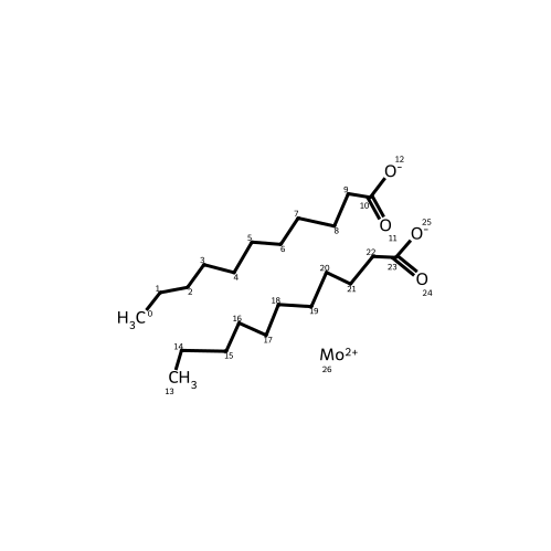 CCCCCCCCCCC(=O)[O-].CCCCCCCCCCC(=O)[O-].[Mo+2]